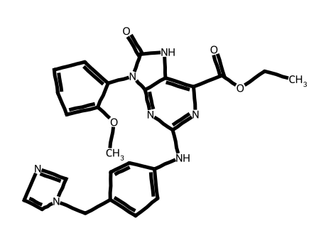 CCOC(=O)c1nc(Nc2ccc(Cn3ccnc3)cc2)nc2c1[nH]c(=O)n2-c1ccccc1OC